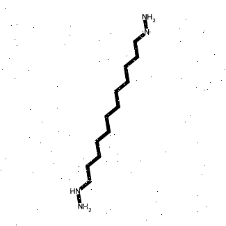 N[N]CCCCCCCCCCCCNN